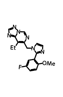 CCc1c(Cn2ccnc2-c2cc(F)ccc2OC)ncn2ncnc12